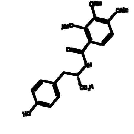 COc1ccc(C(=O)N[C@@H](Cc2ccc(O)cc2)C(=O)O)c(OC)c1OC